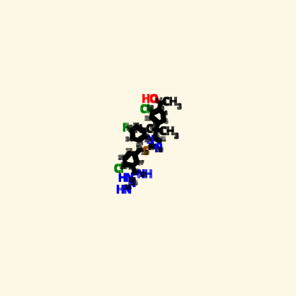 CC(O)c1ccc(C(C)(C)c2cnc(SCc3ccc(Cl)c(C(=N)NN=N)c3)n2-c2ccc(F)cc2)cc1Cl